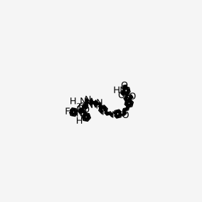 Nc1ncc(-c2cnn(C3CCN(CCCN4CCN(C(=O)CCc5ccc6c(c5)CN(C5CCC(=O)NC5=O)C6=O)CC4)CC3)c2)nc1C(=O)O[C@@H](C(=O)Nc1ccc(F)cc1)c1ccccc1